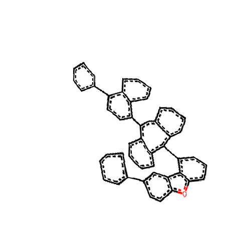 c1ccc(-c2ccc3oc4cccc(-c5c6ccccc6c(-c6ccc(-c7ccccc7)c7ccccc67)c6ccccc56)c4c3c2)cc1